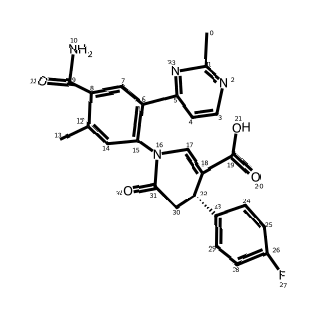 Cc1nccc(-c2cc(C(N)=O)c(C)cc2N2C=C(C(=O)O)[C@H](c3ccc(F)cc3)CC2=O)n1